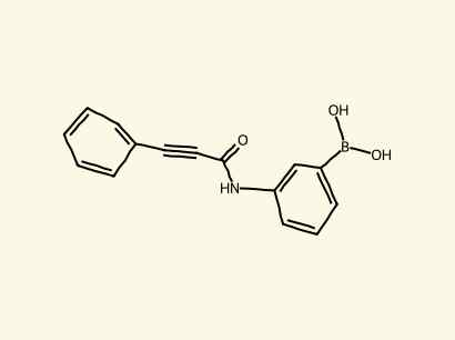 O=C(C#Cc1ccccc1)Nc1cccc(B(O)O)c1